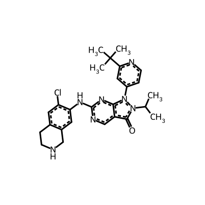 CC(C)n1c(=O)c2cnc(Nc3cc4c(cc3Cl)CCNC4)nc2n1-c1ccnc(C(C)(C)C)c1